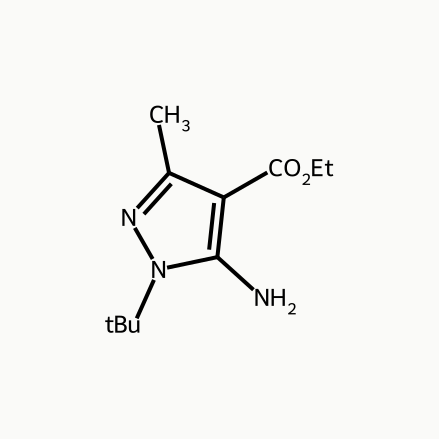 CCOC(=O)c1c(C)nn(C(C)(C)C)c1N